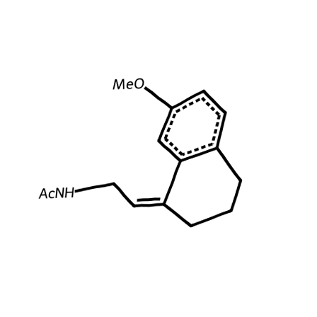 COc1ccc2c(c1)/C(=C\CNC(C)=O)CCC2